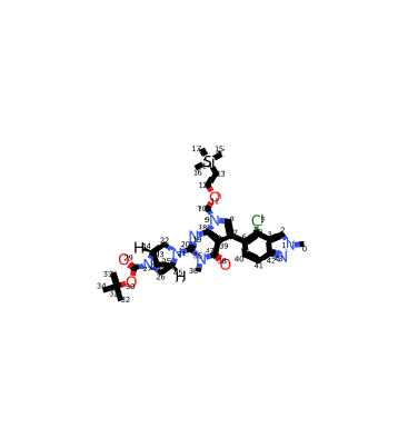 Cn1cc2c(Cl)c(-c3cn(COCC[Si](C)(C)C)c4nc(N5C[C@@H]6C[C@H]5CN6C(=O)OC(C)(C)C)n(C)c(=O)c34)ccc2n1